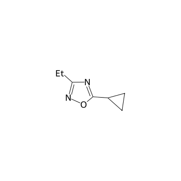 CCc1noc(C2CC2)n1